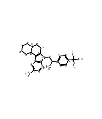 Cc1cnc2c(n1)c1c(n2CC(O)c2ccc(C(F)(F)F)cc2)CCN2CCCCC12